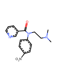 CN(C)CCN(C(=O)c1cccnc1)c1ccc([N+](=O)[O-])cc1